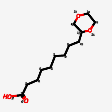 O=C(O)CCCCCCCCC1COCCO1